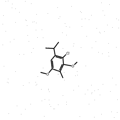 COc1cc(C(C)C)c(Cl)c(OC)c1C